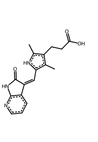 Cc1[nH]c(C=C2C(=O)Nc3ncccc32)c(C)c1CCC(=O)O